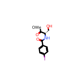 COC(=O)[C@H](CO)NC(=O)c1ccc(I)cc1